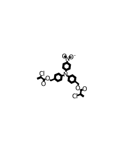 C=C(Cl)C(=O)OCc1ccc(N(c2ccc(COC(=O)C(=C)Cl)cc2)c2ccc([N+](=O)[O-])cc2)cc1